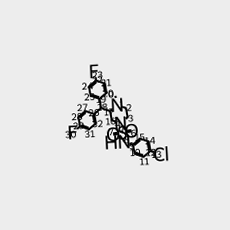 CN1CCN(S(=O)(=O)Nc2ccc(Cl)cc2)CC1C(c1ccc(F)cc1)c1ccc(F)cc1